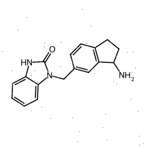 NC1CCc2ccc(Cn3c(=O)[nH]c4ccccc43)cc21